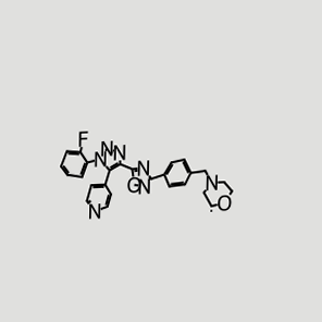 Fc1ccccc1-n1nnc(-c2nc(-c3ccc(CN4C[CH]OCC4)cc3)no2)c1-c1ccncc1